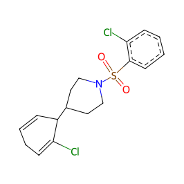 O=S(=O)(c1ccccc1Cl)N1CCC(C2C=CCC=C2Cl)CC1